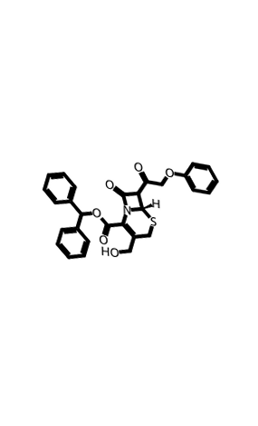 O=C(OC(c1ccccc1)c1ccccc1)C1=C(CO)CS[C@H]2C(C(=O)COc3ccccc3)C(=O)N12